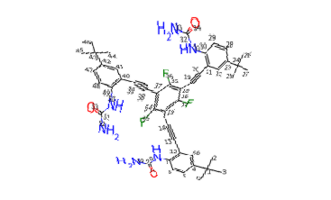 CC(C)(C)c1ccc(NC(N)=O)c(C#Cc2c(F)c(C#Cc3cc(C(C)(C)C)ccc3NC(N)=O)c(F)c(C#Cc3cc(C(C)(C)C)ccc3NC(N)=O)c2F)c1